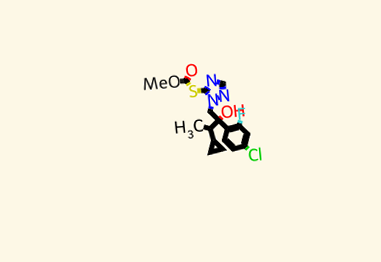 COC(=O)Sc1ncnn1CC(O)(c1ccc(Cl)cc1F)C(C)C1CC1